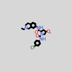 CCN1CCc2ccc(NC(=O)[C@H]3C[C@@H](OC)CN3C(=O)Nc3ccc(Cl)cc3)cc2C1